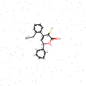 CC(C)Cc1ccccc1C1=CC(c2ccccc2)OC(=O)C1=S